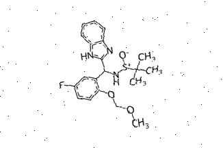 COCOc1ccc(F)cc1C(N[S+]([O-])C(C)(C)C)c1nc2ccccc2[nH]1